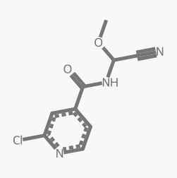 COC(C#N)NC(=O)c1ccnc(Cl)c1